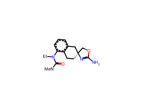 CCN(C(=O)NC)c1cccc2c1CC[C@@]1(COC(N)=N1)C2